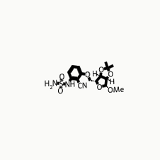 CO[C@@H]1O[C@H](COc2cccc(NS(N)(=O)=O)c2C#N)[C@H]2OC(C)(C)O[C@@H]12